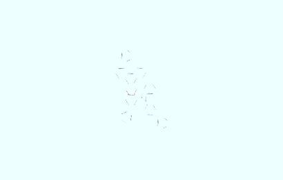 CC1(C)c2ccccc2-c2ccc(N(c3ccccc3-c3cccc4c5ccc6oc7ccccc7c6c5c5ccccc5c34)c3cccc4c3C(C)(C)c3ccccc3-4)cc21